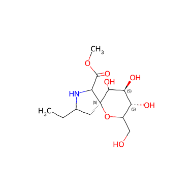 CCC1C[C@]2(OC(CO)[C@@H](O)[C@H](O)C2O)C(C(=O)OC)N1